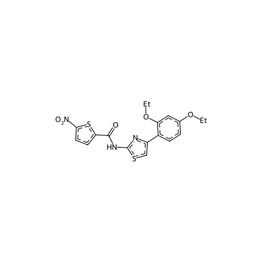 CCOc1ccc(-c2csc(NC(=O)c3ccc([N+](=O)[O-])s3)n2)c(OCC)c1